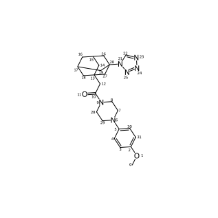 COc1ccc(N2CCN(C(=O)CC34CC5CC(C3)CC(n3cnnn3)(C5)C4)CC2)cc1